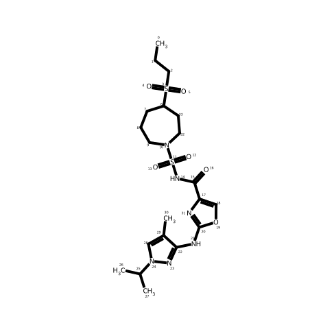 CCCS(=O)(=O)C1CCCN(S(=O)(=O)NC(=O)c2coc(Nc3nn(C(C)C)cc3C)n2)CC1